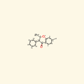 Cc1ccc2c(c1)OC(C(C)C)C(c1ccccc1)C2=O